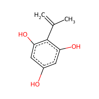 C=C(C)c1c(O)cc(O)cc1O